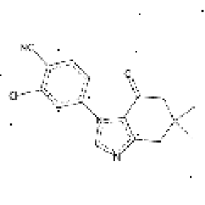 CC1(C)CC(=O)c2c(ncn2-c2ccc(C#N)c(Cl)c2)C1